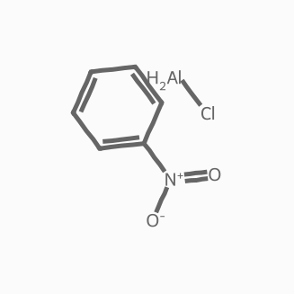 O=[N+]([O-])c1ccccc1.[AlH2][Cl]